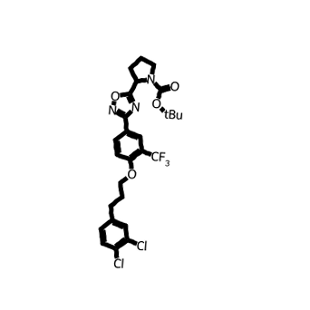 CC(C)(C)OC(=O)N1CCCC1c1nc(-c2ccc(OCCCc3ccc(Cl)c(Cl)c3)c(C(F)(F)F)c2)no1